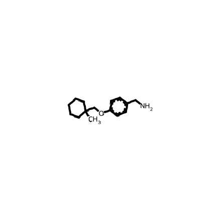 CC1(COc2ccc(CN)cc2)CCCCC1